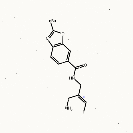 CCCCc1nc2ccc(C(=O)NC/C(=C/F)CN)cc2o1